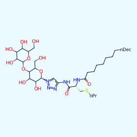 [CH2][CH]CSC[C@@H](NC(=O)CCCCCCCCCCCCCCCCC)C(=O)Nc1cn([C@@H]2OC(CO)C(OC3OC(CO)C(O)C(O)C3O)C(O)C2O)nn1